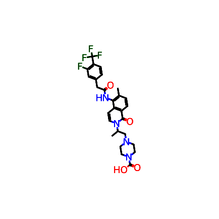 Cc1ccc2c(=O)n(C(C)CN3CCN(C(=O)O)CC3)ccc2c1NC(=O)Cc1ccc(C(F)(F)F)c(F)c1